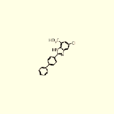 O=C(O)c1cc(Cl)cc2nc(-c3ccc(-c4ccccc4)cc3)[nH]c12